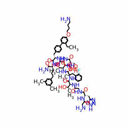 CCc1cc(OCCCCN)ccc1-c1ccc(C[C@H](NC(=O)[C@H](CC(=O)O)NC(=O)[C@H](CO)NC(=O)[C@@H](NC(=O)[C@](C)(Cc2ccccc2F)NC(=O)[C@@H](NC(=O)CNC(=O)[C@H](Cc2nn[nH]n2)NC(=O)CN)[C@@H](C)O)[C@@H](C)O)C(=O)N[C@@H](CCCc2cc(C)cc(C)c2)C(N)=O)cc1